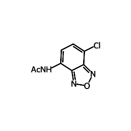 CC(=O)Nc1ccc(Cl)c2nonc12